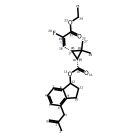 C=C(C)Cc1cccc2c1CCC2OC(=O)[C@@H]1[C@H](/C=C(/F)C(=O)OCC)C1(C)C